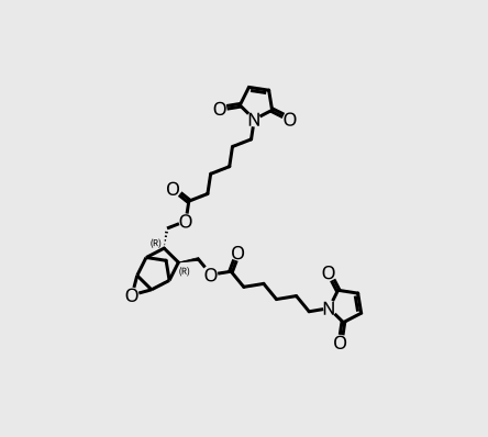 O=C(CCCCCN1C(=O)C=CC1=O)OC[C@H]1C2CC(C3OC32)[C@@H]1COC(=O)CCCCCN1C(=O)C=CC1=O